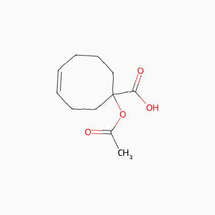 CC(=O)OC1(C(=O)O)CC/C=C\CCC1